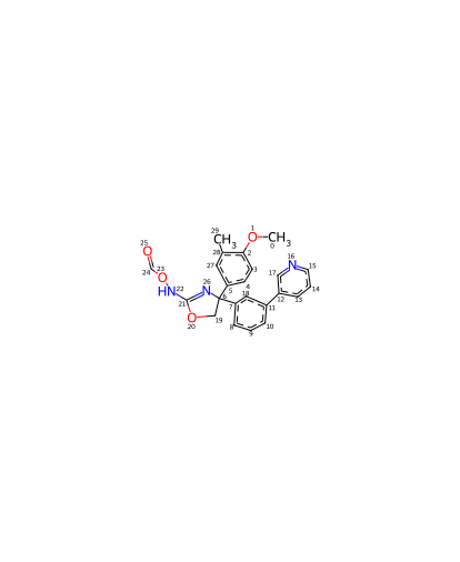 COc1ccc(C2(c3cccc(-c4cccnc4)c3)COC(NOC=O)=N2)cc1C